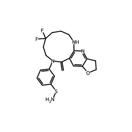 C=C1c2cc3c(nc2NCCCC(F)(F)CCN1c1cccc(SN)c1)CCO3